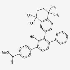 COC(=O)c1ccc(-c2ccc(-c3ccccc3)c(-c3ccc4c(c3)C(C)(C)CCC4(C)C)c2O)cc1